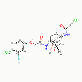 O=C(CCl)NC12CCC(NC(=O)COc3ccc(Cl)c(F)c3)(CC1)[C@@H](O)C2